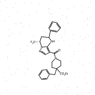 CCOC(=O)C1(Cc2ccccc2)CCN(C(=O)c2cnn3c2NC(c2ccccc2)C[C@H]3C(F)(F)F)CC1